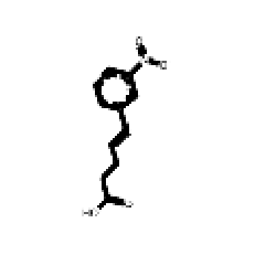 O=C(O)CCC=Cc1cccc([N+](=O)[O-])c1